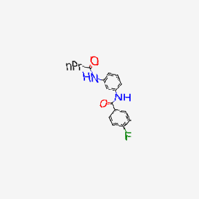 CCCC(=O)Nc1cccc(NC(=O)c2ccc(F)cc2)c1